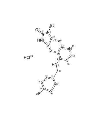 CCn1c(=O)[nH]c2cc3c(NCc4ccc(F)cc4)ncnc3cc21.Cl